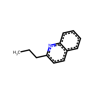 CCCc1c[c]c2ccccc2n1